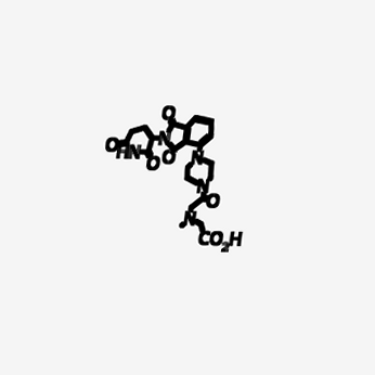 CN(CC(=O)O)CC(=O)N1CCN(c2cccc3c2C(=O)N(C2CCC(=O)NC2=O)C3=O)CC1